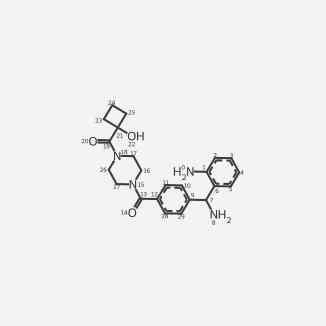 Nc1ccccc1C(N)c1ccc(C(=O)N2CCN(C(=O)C3(O)CCC3)CC2)cc1